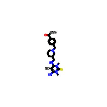 COC(=O)c1ccc(CN2CCCC(CNc3c(C#N)c(=N)n(C)c(=S)n3C)C2)cc1